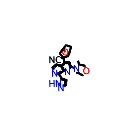 CC1COCCN1c1cc(C2(C#N)CC3CCC(C2)O3)c2ccnc(-c3ccn[nH]3)c2n1